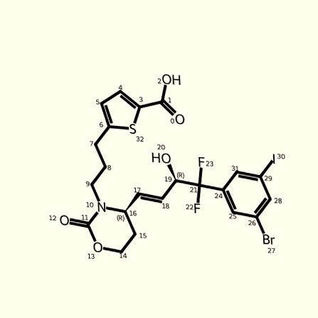 O=C(O)c1ccc(CCCN2C(=O)OCC[C@@H]2C=C[C@@H](O)C(F)(F)c2cc(Br)cc(I)c2)s1